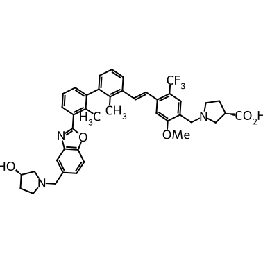 COc1cc(/C=C/c2cccc(-c3cccc(-c4nc5cc(CN6CC[C@@H](O)C6)ccc5o4)c3C)c2C)c(C(F)(F)F)cc1CN1CC[C@@H](C(=O)O)C1